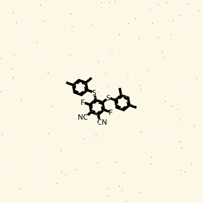 Cc1ccc(Sc2c(F)c(C#N)c(C#N)c(F)c2Sc2ccc(C)cc2C)c(C)c1